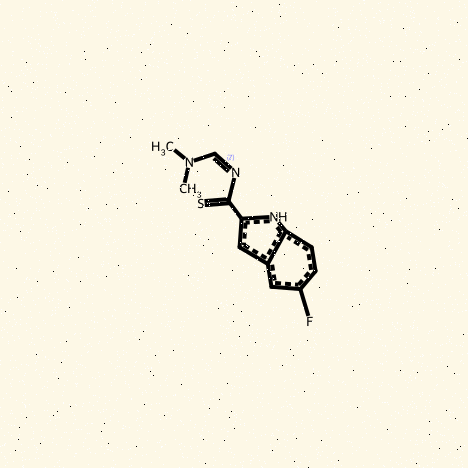 CN(C)/C=N\C(=S)c1cc2cc(F)ccc2[nH]1